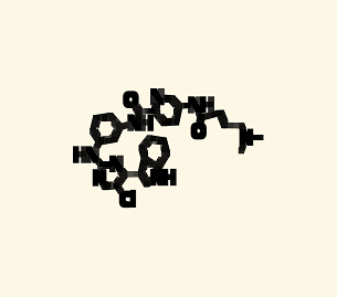 CN(C)CC=CC(=O)Nc1ccc(C(=O)Nc2cccc(Nc3ncc(Cl)c(-c4c[nH]c5ccccc45)n3)c2)nc1